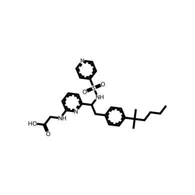 CCCCC(C)(C)c1ccc(CC(NS(=O)(=O)c2ccncc2)c2cccc(NCC(=O)O)n2)cc1